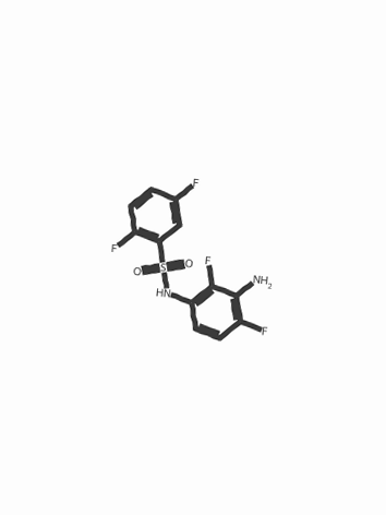 Nc1c(F)ccc(NS(=O)(=O)c2cc(F)ccc2F)c1F